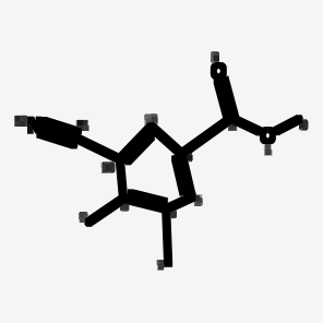 COC(=O)c1cc(C)c(C)c(C#N)c1